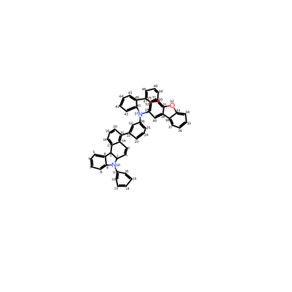 C1=CC2C(c3ccccc3N2c2ccccc2)c2cccc(-c3cccc(N(c4ccc5oc6ccccc6c5c4)c4ccccc4-c4ccccc4)c3)c21